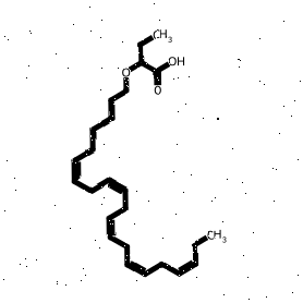 CC/C=C\C/C=C\C/C=C\C/C=C\C/C=C\CCCCCOC(CC)C(=O)O